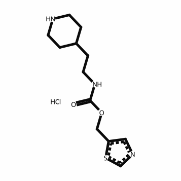 Cl.O=C(NCCC1CCNCC1)OCc1cncs1